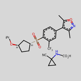 Cc1noc(C)c1-c1ccc(S(=O)(=O)[C@@H]2CC[C@@H](OC(C)C)C2)c(C(F)(F)F)c1.N#CC1(NC(=O)O)CC1